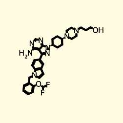 Nc1ncnc2c1c(-c1ccc3c(ccn3Cc3ccccc3OC(F)F)c1)nn2[C@H]1CC[C@H](N2CCN(CCCO)CC2)CC1